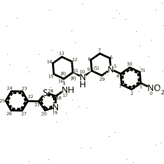 O=[N+]([O-])c1ccc(N2CCC[C@H](N[C@@H]3CCCC[C@H]3Nc3ncc(-c4ccccc4)s3)C2)cc1